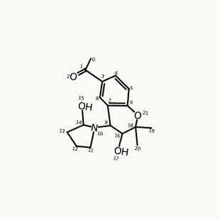 CC(=O)c1ccc2c(c1)C(N1CCCC1O)C(O)C(C)(C)O2